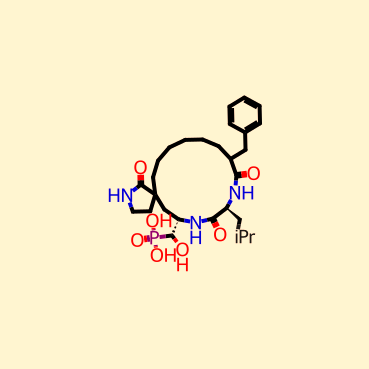 CC(C)C[C@@H]1NC(=O)C(Cc2ccccc2)CCCCCCC2(CCNC2=O)C[C@@H](C(O)P(=O)(O)O)NC1=O